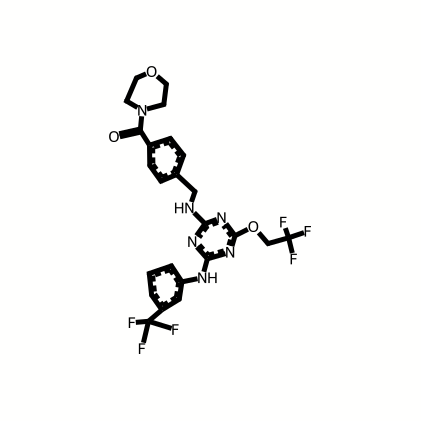 O=C(c1ccc(CNc2nc(Nc3cccc(C(F)(F)F)c3)nc(OCC(F)(F)F)n2)cc1)N1CCOCC1